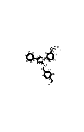 FCc1ccc(CSc2nc(-c3ccccc3)cn2-c2cccc(OC(F)(F)F)c2)cc1